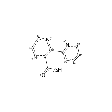 O=C(S)c1nccnc1-c1ccccn1